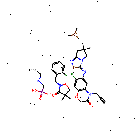 C#CCN1C(=O)COc2cc(F)c(/N=c3\snc4n3CC(C)(C)C4)cc21.CC1(C)CON(Cc2ccccc2Cl)C1=O.C[S+](C)C.O=C(O)CNCP(=O)([O-])O